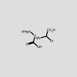 CCCC(CC)C(=O)O.CCCCCCCOC(=O)CCC